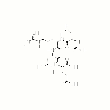 CC(=O)N[C@@H](CO)C(=O)N[C@@H](CCCNC(=N)N)C(=O)N[C@@H](CC(C)C)C(=O)N[C@@H](CCC(=O)O)C(=O)O